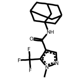 Cn1ncc(C(=O)NC23CC4CC(CC(C4)C2)C3)c1C(F)(F)F